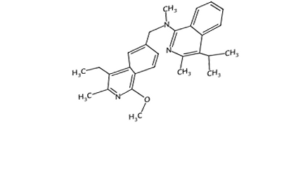 CCc1c(C)nc(OC)c2ccc(CN(C)c3nc(C)c(C(C)C)c4ccccc34)cc12